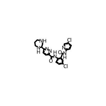 O=C(Nc1ccc(Cl)cc1C(=O)Nc1ccc(Cl)cn1)c1ccc(C2CNCCCN2)nn1